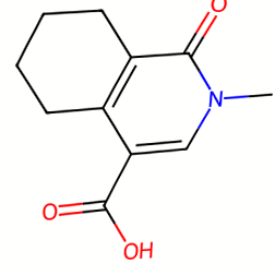 Cn1cc(C(=O)O)c2c(c1=O)CCCC2